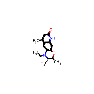 CC1Oc2cc3[nH]c(=O)cc(C(F)(F)F)c3cc2N(CC(F)(F)F)[C@H]1C